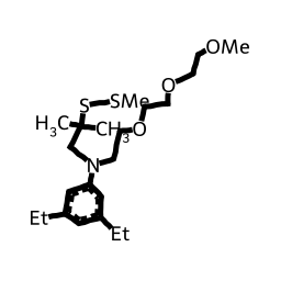 CCc1cc(CC)cc(N(CCOCCOCCOC)CC(C)(C)SSC)c1